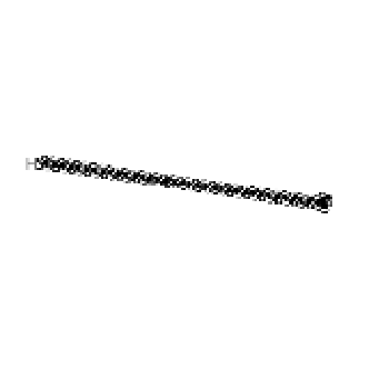 COS(=S)(=S)SSSSSSSSSSSSSSSSSSSSSSSSSSSSSSSSSSSSSSSSSSSSSSSSSSSSSSSSSSSSSSSSSSSSSSS